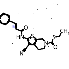 CCSC(=O)N1CCc2c(sc(NC(=O)/C=C/c3ccccc3)c2C#N)C1